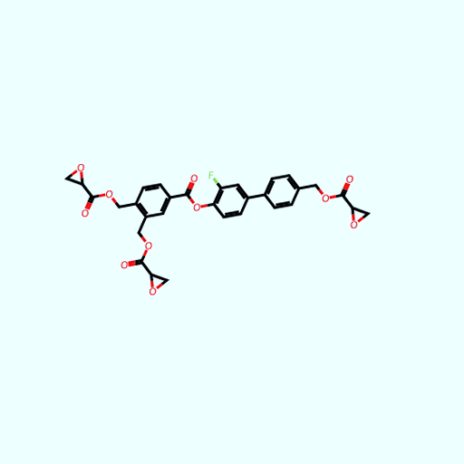 O=C(Oc1ccc(-c2ccc(COC(=O)C3CO3)cc2)cc1F)c1ccc(COC(=O)C2CO2)c(COC(=O)C2CO2)c1